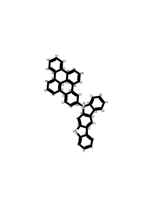 c1ccc2c(c1)sc1cc3c(cc12)c1ccccc1n3-c1ccc2c(c1)c1cccc3c4ccccc4c4cccc2c4c31